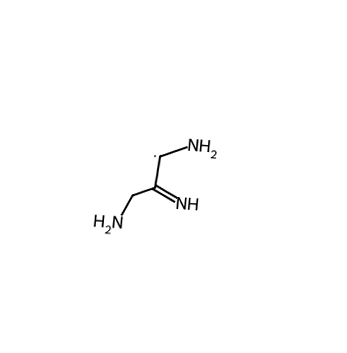 N=C([CH]N)CN